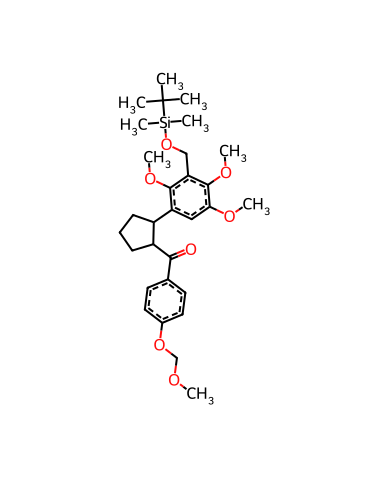 COCOc1ccc(C(=O)C2CCCC2c2cc(OC)c(OC)c(CO[Si](C)(C)C(C)(C)C)c2OC)cc1